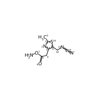 Cc1nc(CC(=O)ON)c(CN=[N+]=[N-])s1